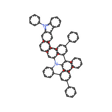 c1ccc(-c2cc(-c3ccccc3)cc(-c3ccccc3N(c3ccc(-c4ccc5c(c4)c4ccccc4n5-c4ccccc4)cc3)c3ccccc3-c3cc(-c4ccccc4)cc(-c4ccccc4)c3)c2)cc1